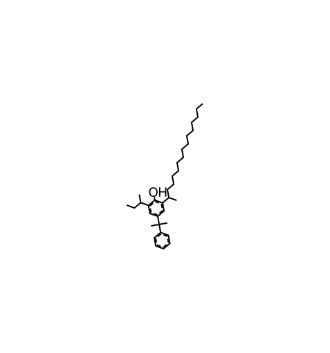 CCCCCCCCCCCCCCC(C)c1cc(C(C)(C)c2ccccc2)cc(C(C)CC)c1O